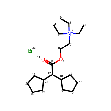 CC[N+](CC)(CC)CCOC(=O)C(C1CCCC1)C1CCCC1.[Br-]